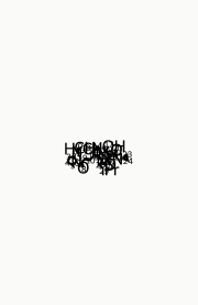 C#[N+][C@H]1CCCN1C(=O)/C=C/c1c(C)nn2c(O)c(C(=O)NC3CC3)c(=O)n(CC(C)C)c12